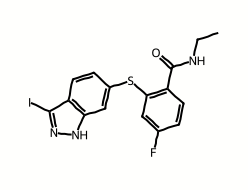 CCNC(=O)c1ccc(F)cc1Sc1ccc2c(I)n[nH]c2c1